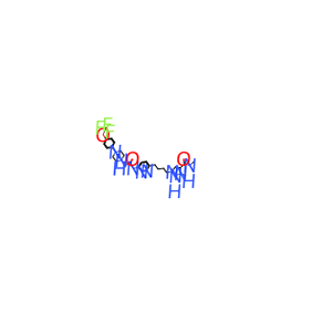 CNC(=O)C1=CN(CCCCc2ccc(NC(=O)CN3CCN(c4ccc(OC(F)(F)F)cc4)CC3)nn2)NN1C